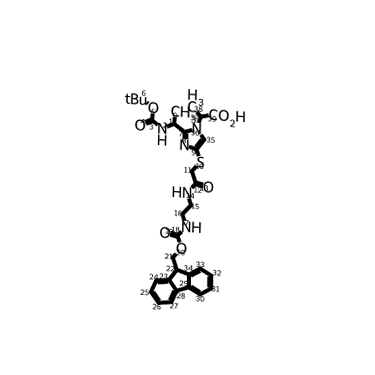 CC(NC(=O)OC(C)(C)C)c1nc(SCC(=O)NCCNC(=O)OCC2c3ccccc3-c3ccccc32)cn1C(C)C(=O)O